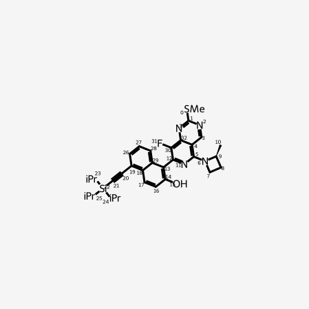 CSc1ncc2c(N3CC[C@@H]3C)nc(-c3c(O)ccc4c(C#C[Si](C(C)C)(C(C)C)C(C)C)cccc34)c(F)c2n1